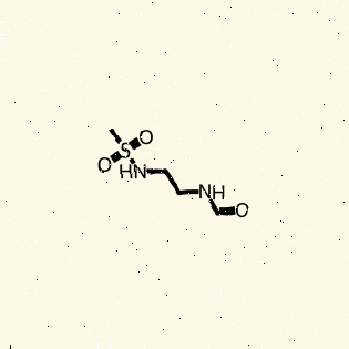 CS(=O)(=O)NCCNC=O